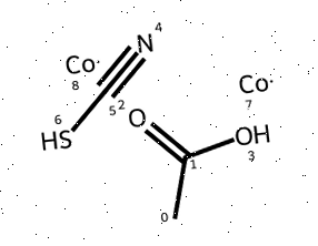 CC(=O)O.N#CS.[Co].[Co]